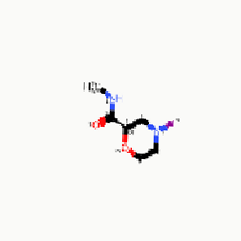 CNC(=O)[C@H]1CN(I)CCO1